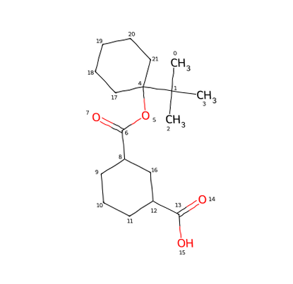 CC(C)(C)C1(OC(=O)C2CCCC(C(=O)O)C2)CCCCC1